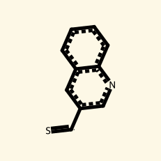 S=[C]c1cnc2ccccc2c1